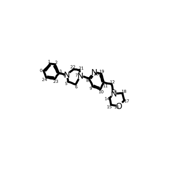 [c]1ccc(N2CCN(c3ccc(CN4CCOCC4)cn3)CC2)cc1